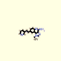 CC(C)Cn1cnc2c(N)nc3ccc(/C=C/c4cccnc4)cc3c21